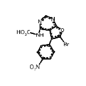 O=C(O)Nc1ncnc2oc(Br)c(-c3ccc([N+](=O)[O-])cc3)c12